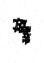 CC(C)(C)n1ncc(C(NS(=O)(=O)c2ccc(C(F)(F)F)nc2)C2CC2)c1-c1cccc(F)c1